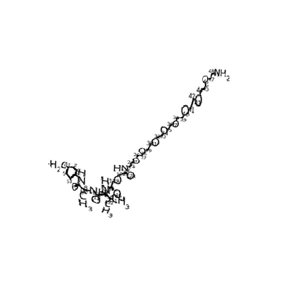 [CH2]c1ccc(NC(=O)[C@H](C)NC(=O)[C@@H](NC(=O)COCC(=O)NCCOCCOCCOCCOCCOCCOCCOCCOCCN)C(C)C)cc1